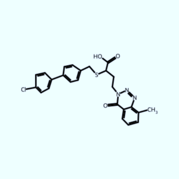 Cc1cccc2c(=O)n(CCC(SCc3ccc(-c4ccc(Cl)cc4)cc3)C(=O)O)nnc12